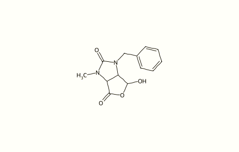 CN1C(=O)N(Cc2ccccc2)C2C(O)OC(=O)C21